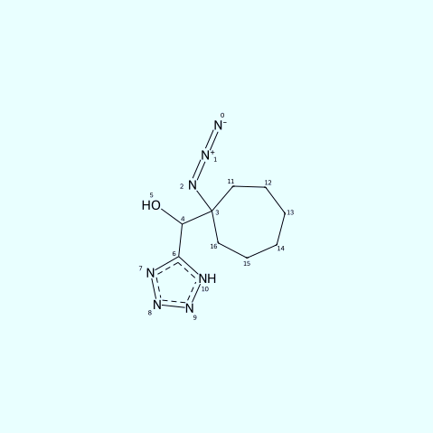 [N-]=[N+]=NC1(C(O)c2nnn[nH]2)CCCCCC1